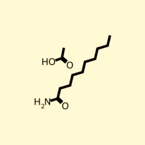 CC(=O)O.CCCCCCCCCC(N)=O